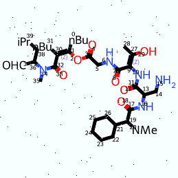 CCCC/C(OC(=O)CNC(=O)/C(NC(=O)C(CN)NC(=O)C(NC)C1CCCCC1)=C(\C)O)=C(\CCCC)C(=O)N(C)C(C=O)CC(C)C